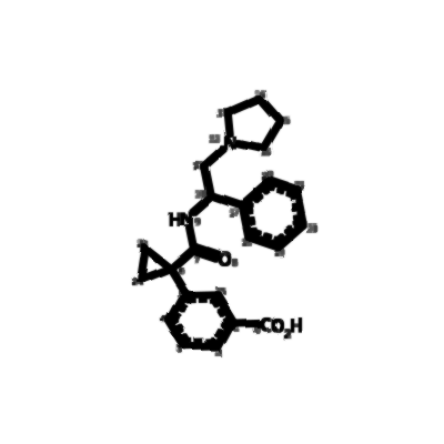 O=C(O)c1cccc(C2(C(=O)NC(CN3CCCC3)c3ccccc3)CC2)c1